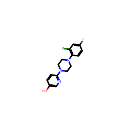 Oc1ccc(N2CCN(c3ccc(F)cc3F)CC2)nc1